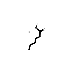 CCCCCC(=O)OO.[Ti]